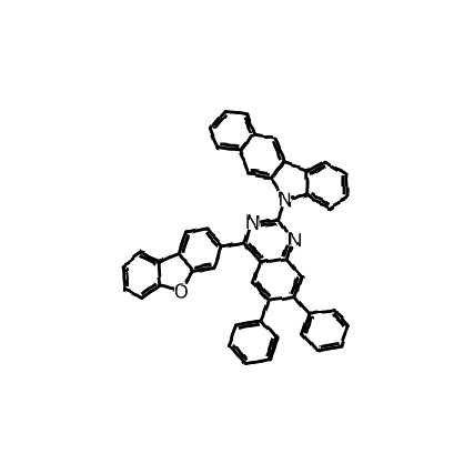 c1ccc(-c2cc3nc(-n4c5ccccc5c5cc6ccccc6cc54)nc(-c4ccc5c(c4)oc4ccccc45)c3cc2-c2ccccc2)cc1